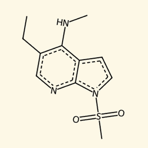 CCc1cnc2c(ccn2S(C)(=O)=O)c1NC